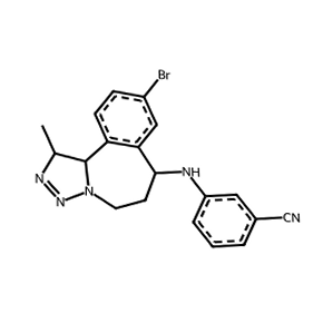 CC1N=NN2CCC(Nc3cccc(C#N)c3)c3cc(Br)ccc3C12